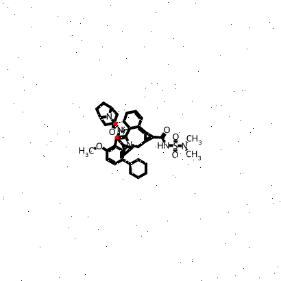 COc1ccc(C2CCCCC2)c2c1cc1n2CC2=C(C(=O)NS(=O)(=O)N(C)C)C2=C2C=CC[C@@H](C(=O)N3C4CCC3CC(NCC3CC3)C4)[C@@H]21